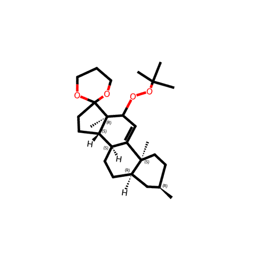 C[C@@H]1CC[C@]2(C)C3=CC(OOC(C)(C)C)[C@@]4(C)[C@@H](CCC45OCCCO5)[C@@H]3CC[C@@H]2C1